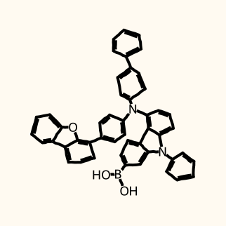 OB(O)c1ccc2c3c(N(c4ccc(-c5ccccc5)cc4)c4ccc(-c5cccc6c5oc5ccccc56)cc4)cccc3n(-c3ccccc3)c2c1